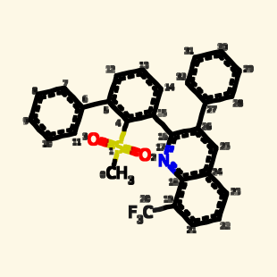 CS(=O)(=O)c1c(-c2ccccc2)cccc1-c1nc2c(C(F)(F)F)cccc2cc1-c1ccccc1